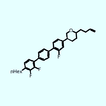 C=CCCC1CCC(c2ccc(-c3ccc(-c4ccc(CCCCCC)c(F)c4F)cc3)c(F)c2)CO1